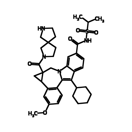 COc1ccc2c(c1)C1CC1(C(=O)N1CCC3(CCNC3)C1)Cn1c-2c(C2CCCCC2)c2ccc(C(=O)NS(=O)(=O)C(C)C)cc21